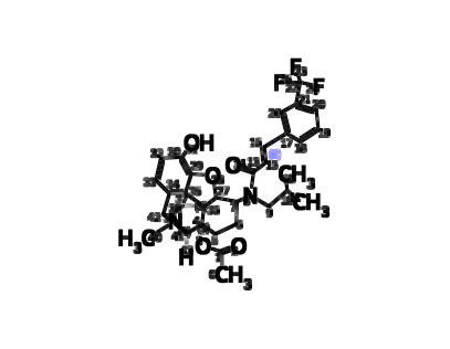 CC(=O)O[C@@]12CCC(N(CC(C)C)C(=O)/C=C/c3cccc(C(F)(F)F)c3)C3Oc4c(O)ccc5c4[C@@]31CCN(C)[C@@H]2C5